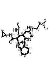 CCNc1c(C(=O)NC2CC2)c2nc3ccccc3n2c2nnc(NCCN(C)C)cc12